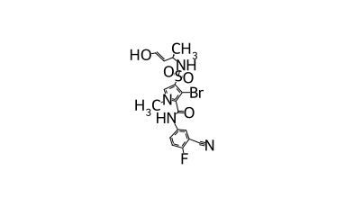 C[C@H](C=CO)NS(=O)(=O)c1cn(C)c(C(=O)Nc2ccc(F)c(C#N)c2)c1Br